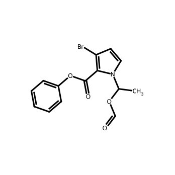 CC(OC=O)n1ccc(Br)c1C(=O)Oc1ccccc1